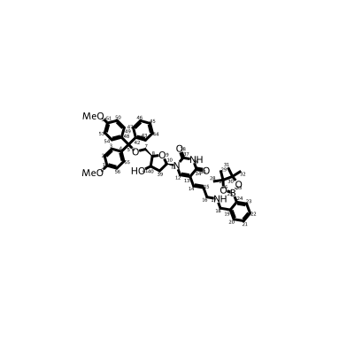 COc1ccc(C(OC[C@H]2O[C@@H](n3cc(/C=C/CNCc4ccccc4B4OC(C)(C)C(C)(C)O4)c(=O)[nH]c3=O)CC2O)(c2ccccc2)c2ccc(OC)cc2)cc1